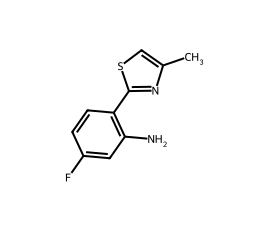 Cc1csc(-c2ccc(F)cc2N)n1